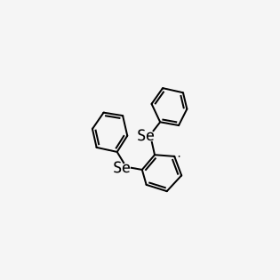 [c]1cccc([Se]c2ccccc2)c1[Se]c1ccccc1